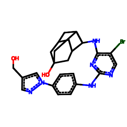 OCc1cnn(-c2ccc(Nc3ncc(Br)c(NC4C5CC6CC4CC(O)(C6)C5)n3)cc2)c1